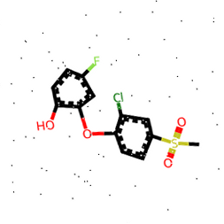 CS(=O)(=O)c1ccc(Oc2cc(F)ccc2O)c(Cl)c1